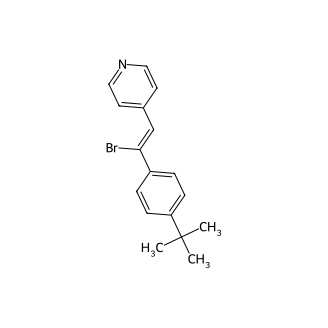 CC(C)(C)c1ccc(C(Br)=Cc2ccncc2)cc1